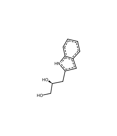 OC[C@@H](O)Cc1cc2ccccc2[nH]1